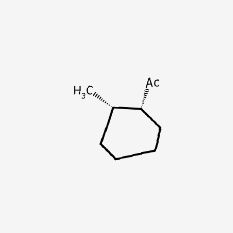 CC(=O)[C@@H]1CCCC[C@@H]1C